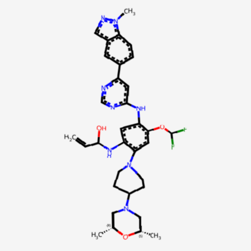 C=CC(O)Nc1cc(Nc2cc(-c3ccc4c(cnn4C)c3)ncn2)c(OC(F)F)cc1N1CCC(N2C[C@@H](C)O[C@@H](C)C2)CC1